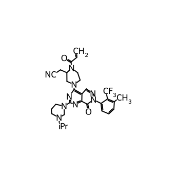 C=CC(=O)N1CCN(c2nc(N3CCCN(C(C)C)C3)nc3c(=O)n(-c4cccc(C)c4C(F)(F)F)ncc23)CC1CC#N